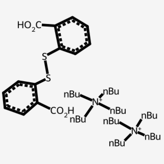 CCCC[N+](CCCC)(CCCC)CCCC.CCCC[N+](CCCC)(CCCC)CCCC.O=C(O)c1ccccc1SSc1ccccc1C(=O)O